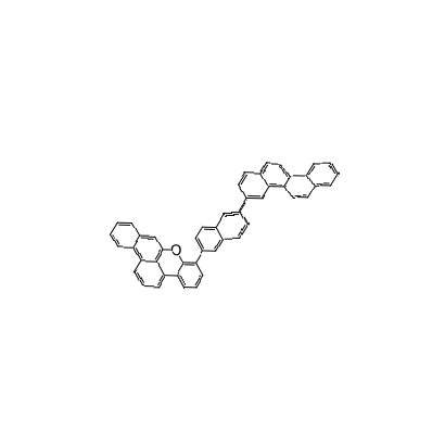 c1cc(-c2ccc3cc(-c4ccc5ccc6c7ccccc7ccc6c5c4)ccc3c2)c2c(c1)-c1cccc3c1c(cc1ccccc13)O2